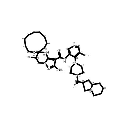 Nc1nn2c(c1C(=O)Nc1cncc(F)c1N1CCN(C(=O)C3CC4CCCCN4C3)CC1)NC1(CCCCCCCCCC1)C(F)C2